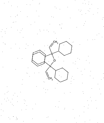 C=C[Si](O[Si](C=C)(C1CCCCC1)C1CCCCC1)(C1CCCCC1)C1CCCCC1